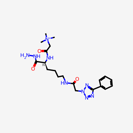 C[N+](C)(C)CC(=O)N[C@@H](CCCCNC(=O)Cn1nnc(-c2ccccc2)n1)C(=O)NN